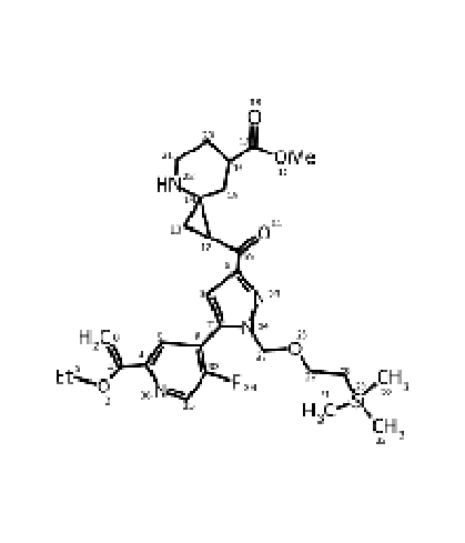 C=C(OCC)c1cc(-c2cc(C(=O)C3CC34CC(C(=O)OC)CCN4)nn2COCC[Si](C)(C)C)c(F)cn1